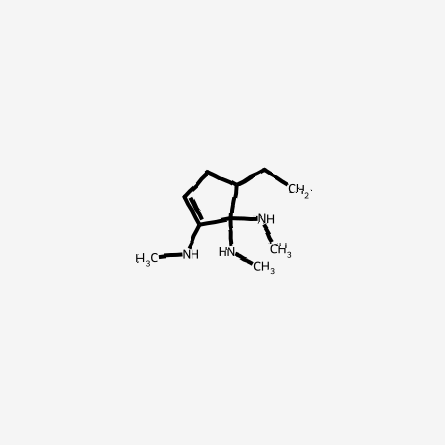 [CH2]CC1CC=C(NC)C1(NC)NC